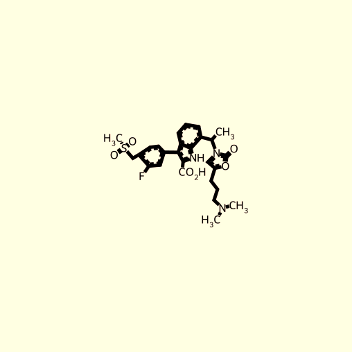 CC(c1cccc2c(-c3ccc(CS(C)(=O)=O)c(F)c3)c(C(=O)O)[nH]c12)n1cc(CCCN(C)C)oc1=O